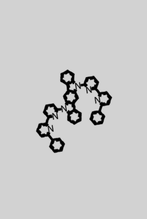 c1ccc(-c2cccc(-c3cccc(-n4c5ccccc5c5cc6c(cc54)c4ccccc4n6-c4cccc(-c5cccc(-c6ccccc6)n5)n4)n3)n2)cc1